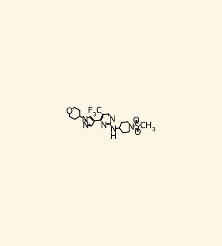 CS(=O)(=O)N1CCC(Nc2ncc(C(F)(F)F)c(-c3cnn(C4CCOCC4)c3)n2)CC1